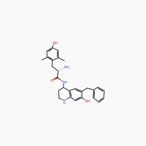 Cc1cc(O)cc(C)c1C[C@H](N)C(=O)N[C@@H]1CCNc2cc(O)c(Cc3ccccc3)cc21